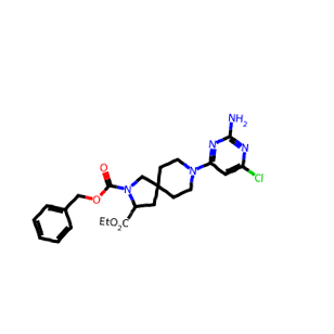 CCOC(=O)C1CC2(CCN(c3cc(Cl)nc(N)n3)CC2)CN1C(=O)OCc1ccccc1